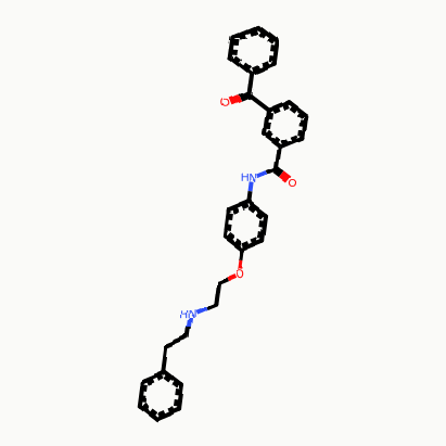 O=C(Nc1ccc(OCCNCCc2ccccc2)cc1)c1cccc(C(=O)c2ccccc2)c1